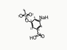 CS(=O)(=O)Oc1cccc(S(=O)O)c1.[NaH]